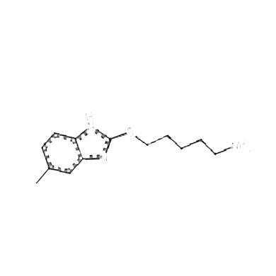 Cc1ccc2[nH]c(SCCCCCN)nc2c1